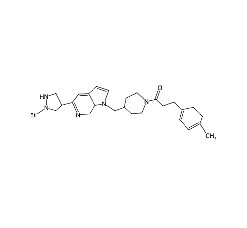 CCN1CC(C2=NCC3C(=C2)C=CN3CC2CCN(C(=O)CCC3=CC=C(C)CC3)CC2)CN1